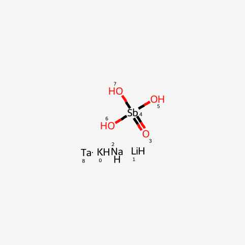 [KH].[LiH].[NaH].[O]=[Sb]([OH])([OH])[OH].[Ta]